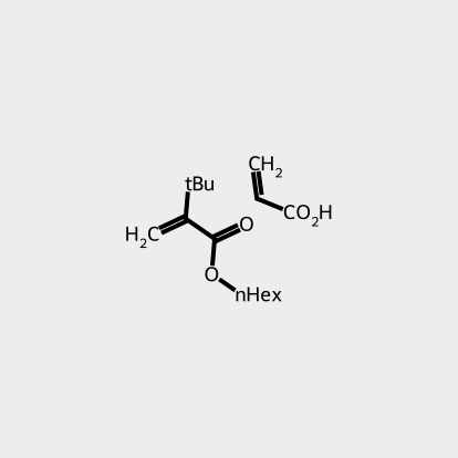 C=C(C(=O)OCCCCCC)C(C)(C)C.C=CC(=O)O